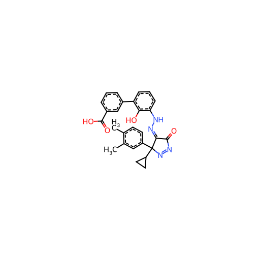 Cc1ccc(C2(C3CC3)N=NC(=O)C2=NNc2cccc(-c3cccc(C(=O)O)c3)c2O)cc1C